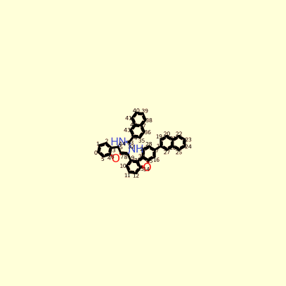 c1ccc2c(c1)OC1=C(c3cccc4oc5cc(-c6ccc7ccccc7c6)ccc5c34)NC(c3ccc4ccccc4c3)NC12